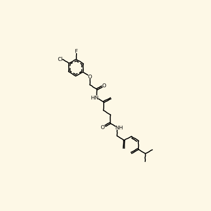 C=C(/C=C\C(=C)C(C)C)CNC(=O)CCC(=C)NC(=O)COc1ccc(Cl)c(F)c1